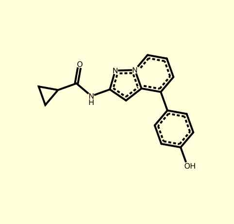 O=C(Nc1cc2c(-c3ccc(O)cc3)cccn2n1)C1CC1